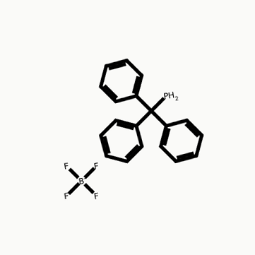 F[B-](F)(F)F.PC(c1ccccc1)(c1ccccc1)c1ccccc1